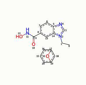 CCn1cnc2ccc(C(=O)NO)cc21.c1cc2cc(c1)O2